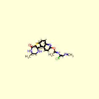 C=N/C=C(Cl)\N=C(/C)Oc1ccc2c(ccc3sc4c(c32)NC[C@@H](C)NC4=O)n1